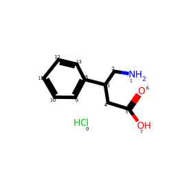 Cl.NCC(CC(=O)O)c1ccccc1